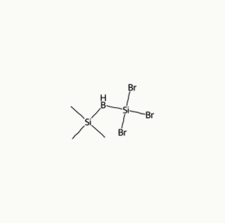 C[Si](C)(C)B[Si](Br)(Br)Br